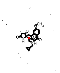 COc1ccc2c(c1)[C@]13CCN(CC4CC4)[C@H](C2=O)[C@]1(O)CC[C@@]1(C3)NC(=O)CC1=O